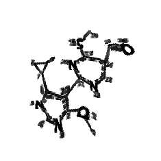 COc1ncnc(C2CC2)c1-c1ncc(C=O)c(SC)n1